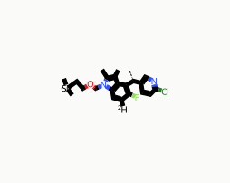 [2H]c1cc2c(c(C)c(C)n2COCC[Si](C)(C)C)c([C@H](C)c2ccc(Cl)nc2)c1F